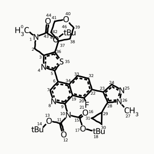 CN(Cc1nc(-c2cnc(N(C(=O)OC(C)(C)C)C(=O)OC(C)(C)C)c3c(F)c(-c4cnn(C)c4C4CC4)ccc23)sc1C1CCOCC1)C(=O)OC(C)(C)C